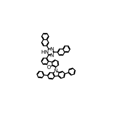 c1ccc(-c2ccc3c4ccc(-c5ccccc5)cc4n(-c4cccc5c4oc4cccc(C6=NC(c7ccc8ccccc8c7)=NC(c7ccc8ccccc8c7)N6)c45)c3c2)cc1